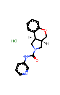 Cl.O=C(Nc1cccnc1)N1C[C@@H]2COc3ccccc3[C@@H]2C1